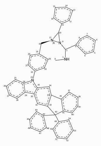 CNC(c1ccccc1)N1C(c2ccccc2)[N@]1Cc1ccc(-n2c3ccccc3c3cc4c(cc32)-c2ccccc2C4(c2ccccc2)c2ccccc2)cc1